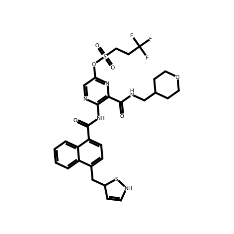 O=C(NCC1CCOCC1)c1nc(OS(=O)(=O)CCC(F)(F)F)cnc1NC(=O)c1ccc(CC2C=CNS2)c2ccccc12